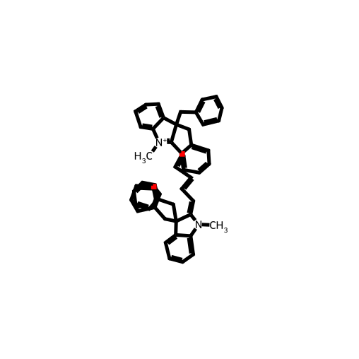 CN1/C(=C/C=C/C=C/C2=[N+](C)c3ccccc3C2(Cc2ccccc2)Cc2ccccc2)C(Cc2ccccc2)(Cc2ccccc2)c2ccccc21